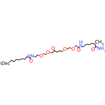 CCCCCCCCCCCCCCCCCC(=O)NCCOCCOCC(=O)CCCOCCOCC(=O)NCCCC[C@H](C)C(N)=O